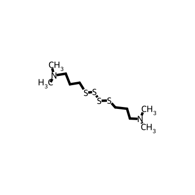 CN(C)CCCSSSSCCCN(C)C